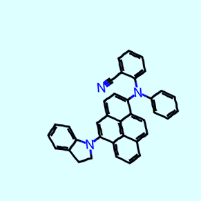 N#Cc1ccccc1N(c1ccccc1)c1ccc2cc(N3CCc4ccccc43)c3cccc4ccc1c2c43